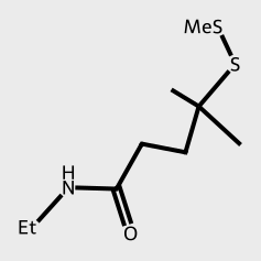 CCNC(=O)CCC(C)(C)SSC